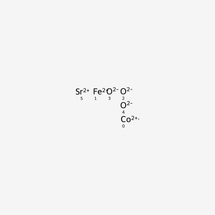 [Co+2].[Fe+2].[O-2].[O-2].[O-2].[Sr+2]